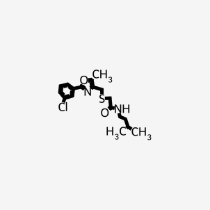 Cc1oc(-c2cccc(Cl)c2)nc1CSCC(=O)NCCC(C)C